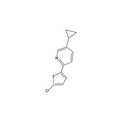 Clc1ccc(-c2ccc(C3CC3)cn2)s1